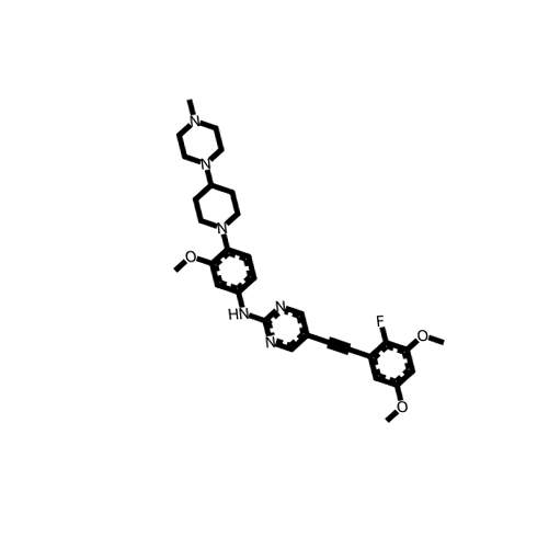 COc1cc(C#Cc2cnc(Nc3ccc(N4CCC(N5CCN(C)CC5)CC4)c(OC)c3)nc2)c(F)c(OC)c1